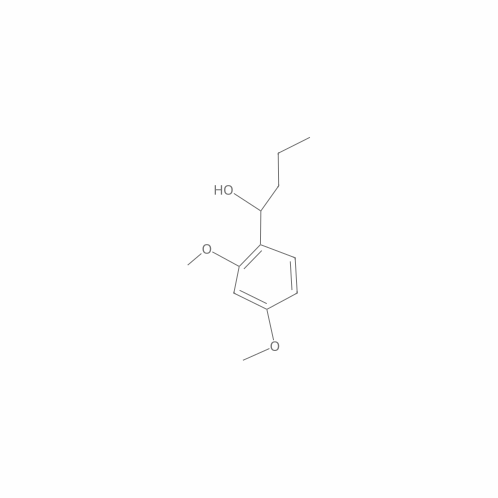 CCCC(O)c1ccc(OC)cc1OC